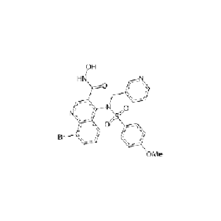 COc1ccc(S(=O)(=O)N(Cc2cccnc2)c2c(C(=O)NO)cnc3c(Br)cccc23)cc1